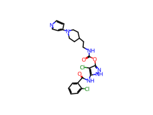 O=C(NCCC1CCN(c2ccncc2)CC1)Oc1n[nH]c(NC(=O)c2ccccc2Cl)c1Cl